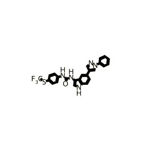 O=C(Nc1ccc(SC(F)(F)F)cc1)Nc1c[nH]c2ccc(-c3cnn(-c4ccccc4)c3)cc12